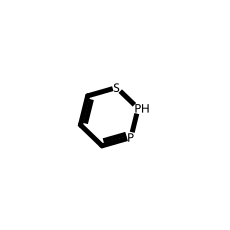 C1=CSPP=C1